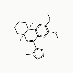 COc1cc2c(cc1OC)[C@@H]1CCCC[C@@H]1N=C2c1cccn1C